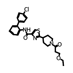 CCOCCC(=O)N1CCC(c2nc(C(=O)Nc3ccccc3-c3ccc(Cl)cc3)cs2)CC1